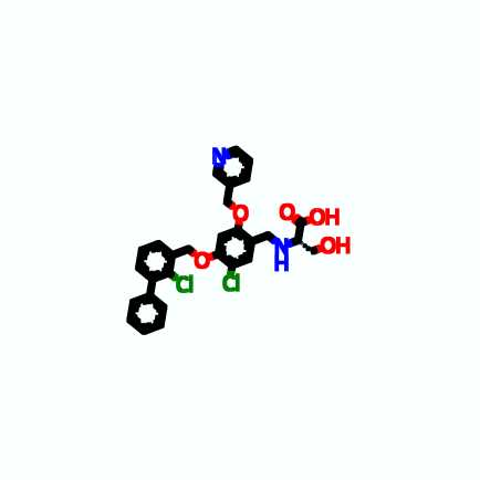 O=C(O)[C@H](CO)NCc1cc(Cl)c(OCc2cccc(-c3ccccc3)c2Cl)cc1OCc1cccnc1